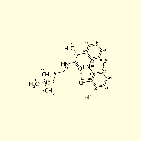 C[C@@H](C(=O)NCCC[N+](C)(C)C)c1ccccc1Nc1c(Cl)cccc1Cl.[I-]